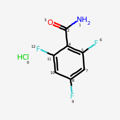 Cl.NC(=O)c1c(F)cc(F)cc1F